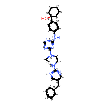 OC1(c2ccc(Nc3ncnc(N4CCN(c5ncc(Cc6ccccc6)cn5)CC4)n3)cc2)CCCCC1